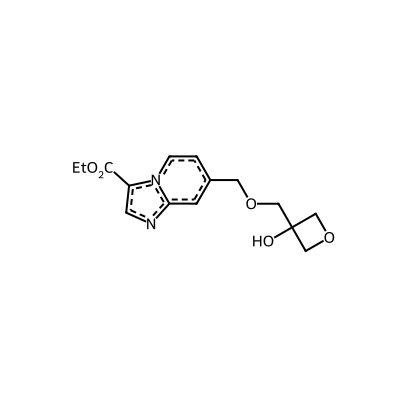 CCOC(=O)c1cnc2cc(COCC3(O)COC3)ccn12